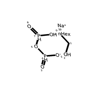 CCCCCCCO.O=[PH]([O-])O[PH](=O)O.[Na+]